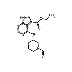 CCOC(=O)c1c[nH]c2ncnc(NC3CCCN(C=O)C3)c12